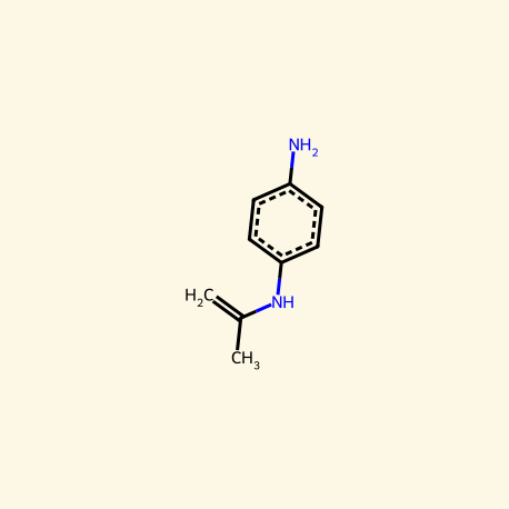 C=C(C)Nc1ccc(N)cc1